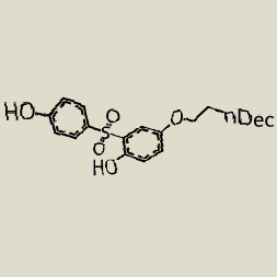 CCCCCCCCCCCCOc1ccc(O)c(S(=O)(=O)c2ccc(O)cc2)c1